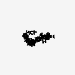 CCc1cc(C(=O)O)c(=O)[nH]c1-c1ccc(N2C[C@H]3CC[C@@H](N(C)Cc4ccccc4)[C@H]3C2)cc1.Cl